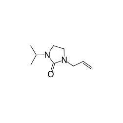 C=CCN1CCN(C(C)C)C1=O